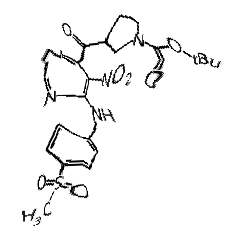 CC(C)(C)OC(=O)N1CCC(C(=O)c2ncnc(Nc3ccc(S(C)(=O)=O)cc3)c2[N+](=O)[O-])C1